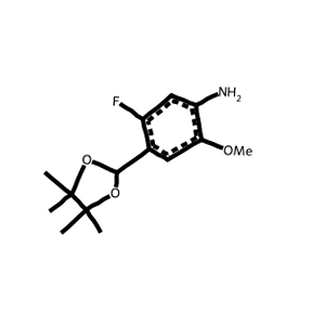 COc1cc(C2OC(C)(C)C(C)(C)O2)c(F)cc1N